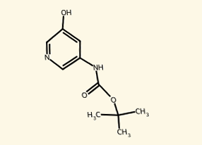 CC(C)(C)OC(=O)Nc1cncc(O)c1